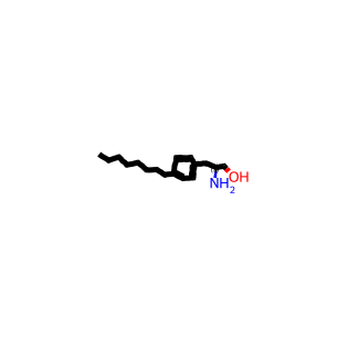 CCCCCCCCc1ccc(C[C@H](N)CO)cc1